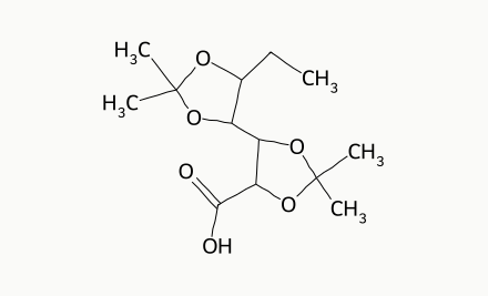 CCC1OC(C)(C)OC1C1OC(C)(C)OC1C(=O)O